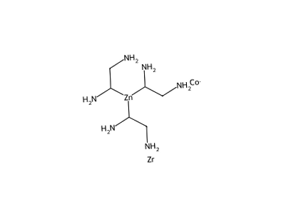 NC[CH](N)[Zn]([CH](N)CN)[CH](N)CN.[Co].[Zr]